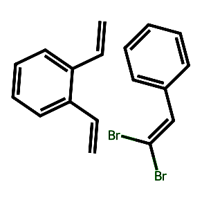 BrC(Br)=Cc1ccccc1.C=Cc1ccccc1C=C